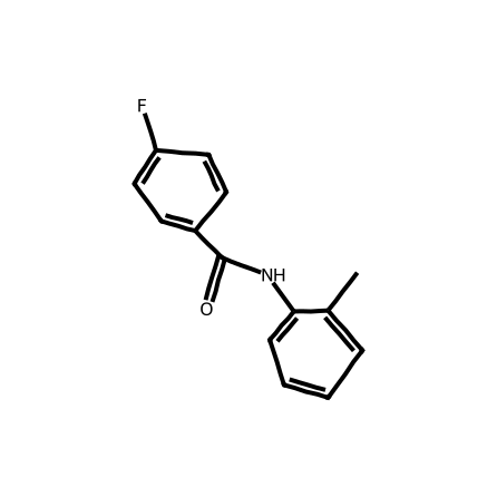 Cc1ccccc1NC(=O)c1ccc(F)cc1